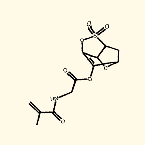 C=C(C)C(=O)NCC(=O)OC1=C2OS(=O)(=O)C3CC1OC23